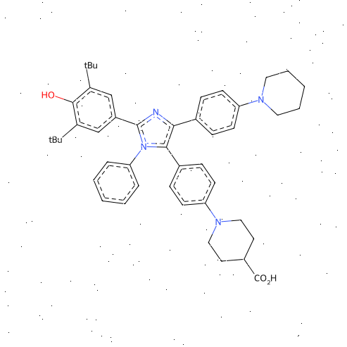 CC(C)(C)c1cc(-c2nc(-c3ccc(N4CCCCC4)cc3)c(-c3ccc(N4CCC(C(=O)O)CC4)cc3)n2-c2ccccc2)cc(C(C)(C)C)c1O